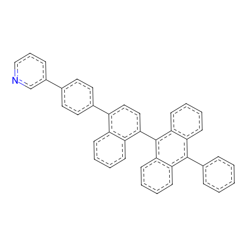 c1ccc(-c2c3ccccc3c(-c3ccc(-c4ccc(-c5cccnc5)cc4)c4ccccc34)c3ccccc23)cc1